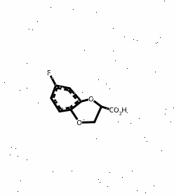 O=C(O)C1COc2ccc(F)cc2O1